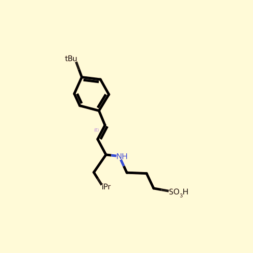 CC(C)CC(/C=C/c1ccc(C(C)(C)C)cc1)NCCCS(=O)(=O)O